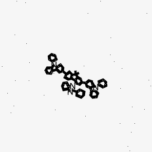 CC1(C)c2cc(-c3ccc4c(c3)c3ccccc3n4-c3ccccc3)ccc2-c2c(-n3c(-c4ccccc4)nc4ccccc43)cc(-c3ccc4c(c3)c3ccccc3n4-c3ccccc3)cc21